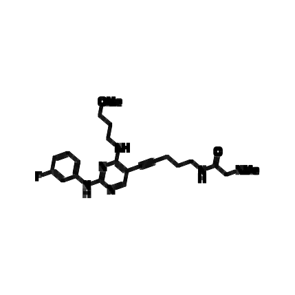 CNCC(=O)NCCCC#Cc1cnc(Nc2cccc(F)c2)nc1NCCCOC